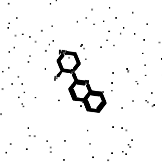 F[C@H]1CNCCN1c1ccc2ccccc2n1